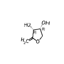 C=C1OC[C@@H](O)[C@H]1O